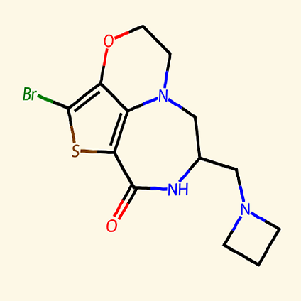 O=C1NC(CN2CCC2)CN2CCOc3c(Br)sc1c32